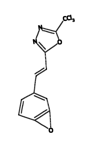 ClC(Cl)(Cl)c1nnc(C=Cc2ccc3c(c2)O3)o1